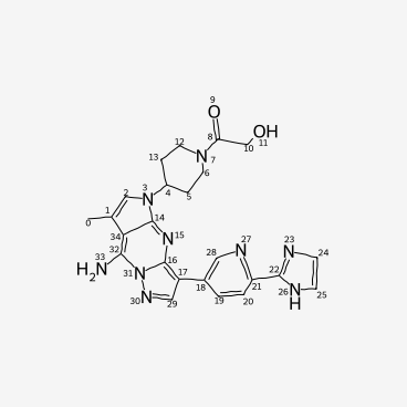 Cc1cn(C2CCN(C(=O)CO)CC2)c2nc3c(-c4ccc(-c5ncc[nH]5)nc4)cnn3c(N)c12